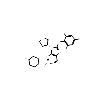 O[C@H]1CC[C@H](N[14c]2ncc3nc(Nc4c(F)cc(F)cc4F)n([C@H]4CCOC4)c3n2)CC1